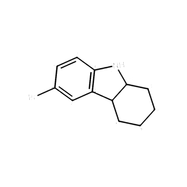 Brc1ccc2c(c1)C1CCCCC1N2